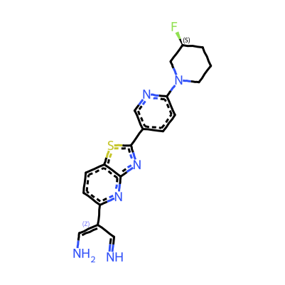 N=C/C(=C\N)c1ccc2sc(-c3ccc(N4CCC[C@H](F)C4)nc3)nc2n1